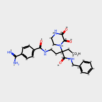 N=C(N)c1ccc(C(=O)NCCC(CC(=O)O)(C(=O)NCc2ccccc2)N2CCNC(=O)C2=O)cc1